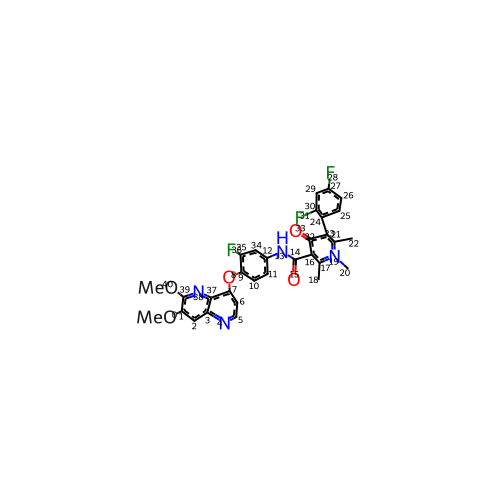 COc1cc2nccc(Oc3ccc(NC(=O)c4c(C)n(C)c(C)c(-c5ccc(F)cc5F)c4=O)cc3F)c2nc1OC